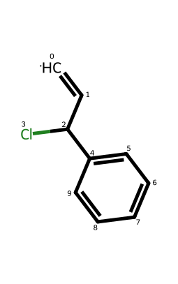 [CH]=CC(Cl)c1ccccc1